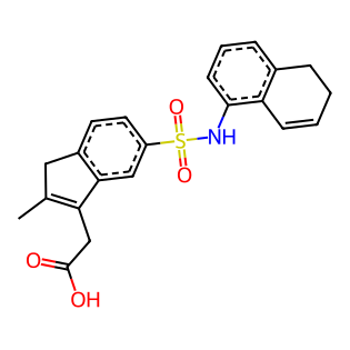 CC1=C(CC(=O)O)c2cc(S(=O)(=O)Nc3cccc4c3C=CCC4)ccc2C1